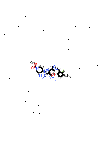 CC(C)(C)OC(=O)N1CCC[C@H](n2nc(-c3cnn(Cc4cccc(C(F)(F)F)c4F)c3)c(C(N)=O)c2N)CC1